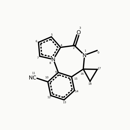 CN1C(=O)c2cccn2-c2c(C#N)cccc2C12CC2